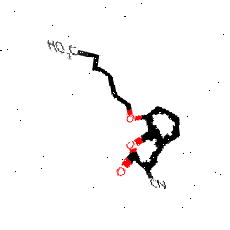 N#Cc1cc2cccc(OCCCCCC(=O)O)c2oc1=O